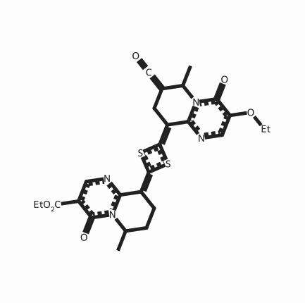 CCOC(=O)c1cnc2n(c1=O)C(C)CCC2=c1sc(=C2CC(=C=O)C(C)n3c2ncc(OCC)c3=O)s1